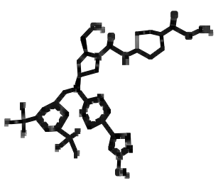 CC[C@@H]1C[C@H](N(Cc2cc(C(F)(F)F)cc(C(F)(F)F)c2)c2ncc(-c3cnn(C)c3)cn2)CN1C(=O)NC1CCC(C(=O)OC)CC1